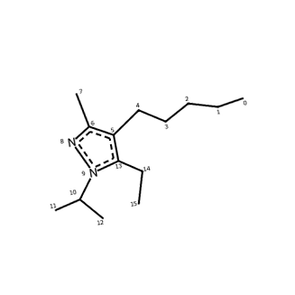 CCCCCc1c(C)nn(C(C)C)c1CC